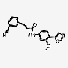 COc1cc(NC(=O)C=Cc2cccc(C#N)c2)ccc1-c1cnco1